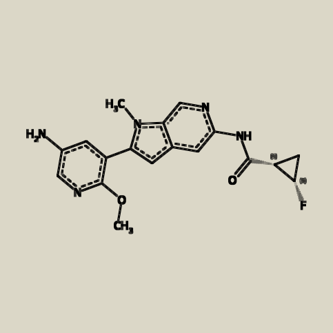 COc1ncc(N)cc1-c1cc2cc(NC(=O)[C@@H]3C[C@@H]3F)ncc2n1C